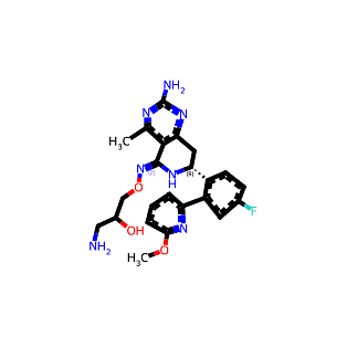 COc1cccc(-c2cc(F)ccc2[C@H]2Cc3nc(N)nc(C)c3/C(=N/OCC(O)CN)N2)n1